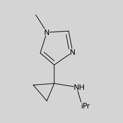 CC(C)NC1(c2cn(C)cn2)CC1